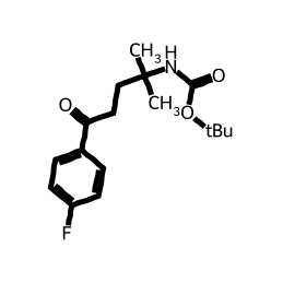 CC(C)(CCC(=O)c1ccc(F)cc1)NC(=O)OC(C)(C)C